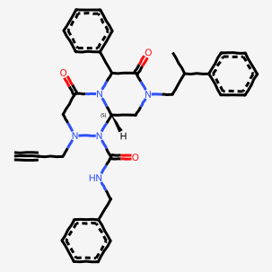 C#CCN1CC(=O)N2C(c3ccccc3)C(=O)N(CC(C)c3ccccc3)C[C@@H]2N1C(=O)NCc1ccccc1